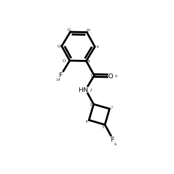 O=C(NC1CC(F)C1)c1ccccc1F